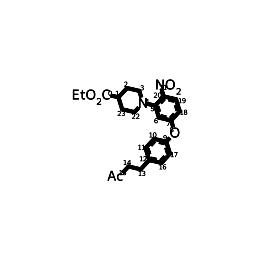 CCOC(=O)C1CCN(c2cc(Oc3ccc(CCC(C)=O)cc3)ccc2[N+](=O)[O-])CC1